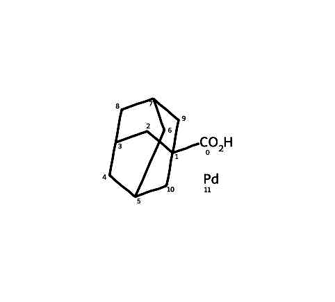 O=C(O)C12CC3CC(CC(C3)C1)C2.[Pd]